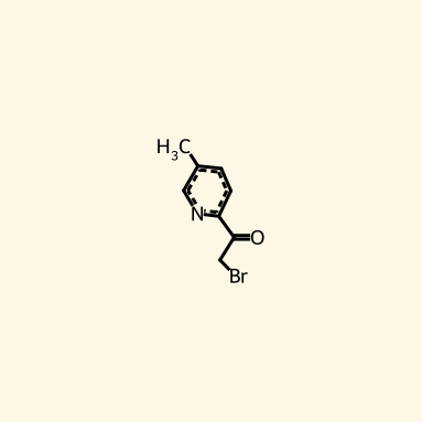 Cc1ccc(C(=O)CBr)nc1